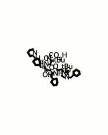 CN(C(=O)O)[C@H](C(=O)N[C@@H](Cc1ccc(-c2ccccn2)cc1)[C@H](O)C[C@H](Cc1ccccc1)NC(=O)[C@@H](N1CCN(Cc2ccccc2)C1=O)C(C)(C)C)C(C)(C)C